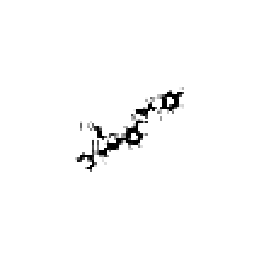 CCC(CC)NC(=O)c1cc(-c2cccc(-c3ncc(C(=O)Nc4ccc(C)cc4)o3)c2)nn1CCO